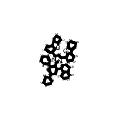 c1ccc(-c2cc(-c3ccccc3)c(-c3nc(-c4cccc5c4oc4ccccc45)cc(-c4cccc5c4oc4ccccc45)n3)c(-c3cccc4ccccc34)c2)cc1